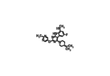 CNc1cc(F)cc2c1[nH]c1nc(Oc3cnc(C)nc3)nc(N3CCC(=C(C)C)CC3)c12